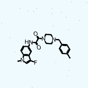 Cc1ccc(CN2CCN(C(=O)C(=O)Nc3ccc4c(c3)c(F)cn4C)CC2)cc1